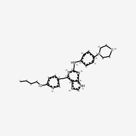 CCCCOc1ccc(-c2nc(Nc3ccc(N4CCOCC4)cc3)nc3[nH]cnc23)cn1